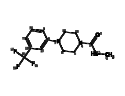 CNC(=O)N1CCN(c2cccc(C(F)(F)F)c2)CC1